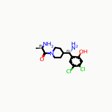 C[C@@H](N)C(=O)N1CCC([C@H](N)c2cc(Cl)c(Cl)cc2O)CC1